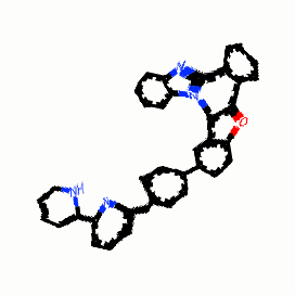 C1=CCNC(c2cccc(-c3ccc(-c4ccc5oc6c7ccccc7c7nc8ccccc8n7c6c5c4)cc3)n2)=C1